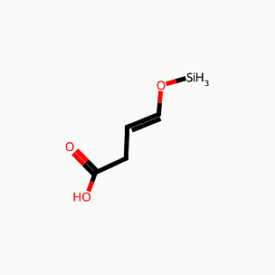 O=C(O)CC=CO[SiH3]